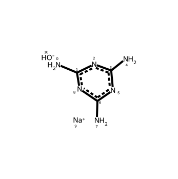 Nc1nc(N)nc(N)n1.[Na+].[OH-]